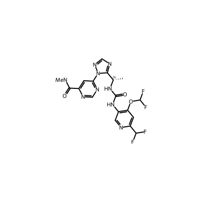 CNC(=O)c1cc(-n2ncnc2[C@H](C)NC(=O)Nc2cnc(C(F)F)cc2OC(F)F)ncn1